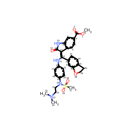 COC(=O)c1ccc2c(c1)NC(=O)/C2=C(\Nc1ccc(N(CCN(C)C)S(C)(=O)=O)cc1)c1ccc2c(c1)OCC2